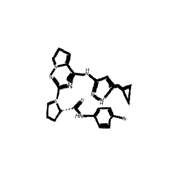 O=C(Nc1ccc(Br)cc1)[C@@H]1CCCN1C1=NN2CCC=C2C(Nc2cc(C3CC3)[nH]n2)=N1